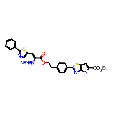 CCOC(=O)c1cc2sc(-c3ccc(CCOC(=O)/C(=C/c4cnc(-c5ccccc5)s4)N=[N+]=[N-])cc3)nc2[nH]1